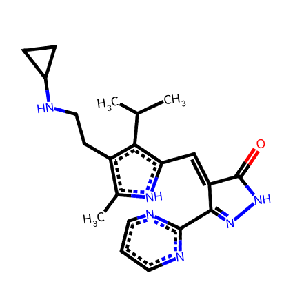 Cc1[nH]c(/C=C2/C(=O)NN=C2c2ncccn2)c(C(C)C)c1CCNC1CC1